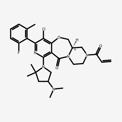 C=CC(=O)N1CCN2C(=O)c3c(N4CC(N(C)C)CC4(C)C)nc(-c4c(C)cccc4F)c(Cl)c3OC[C@H]2C1